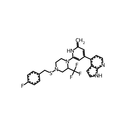 C=C1C=C(c2ccnc3[nH]ccc23)C=C(N2CCN(SCc3ccc(F)cc3)CC2C(F)(F)F)N1